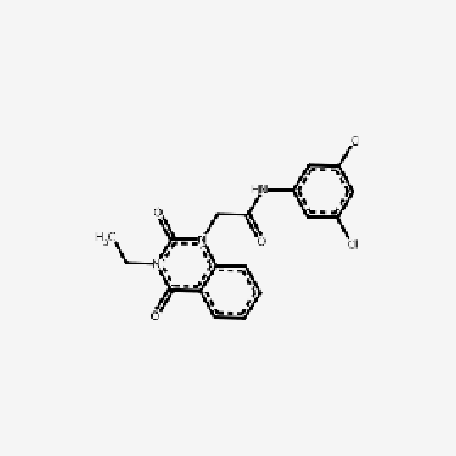 CCn1c(=O)c2ccccc2n(CC(=O)Nc2cc(Cl)cc(Cl)c2)c1=O